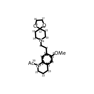 COc1cc2c(cc1CCN1CCC3(CC1)OCCO3)N(C(C)=O)CCC2